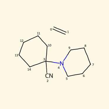 C=C.N#CC1(N2CCCCC2)CCCCC1